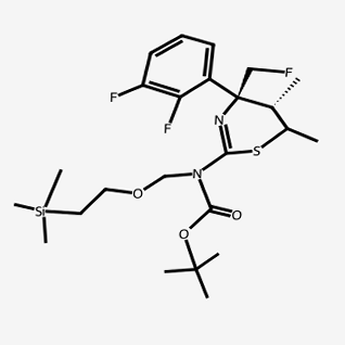 CC1SC(N(COCC[Si](C)(C)C)C(=O)OC(C)(C)C)=N[C@](CF)(c2cccc(F)c2F)[C@@H]1C